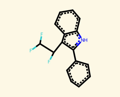 FC(F)C(F)c1c(-c2ccccc2)[nH]c2ccccc12